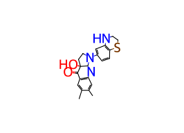 Cc1cc2c(cc1C)C(=O)[C@]1(O)CCN(c3ccc4c(c3)NCCS4)C1=N2